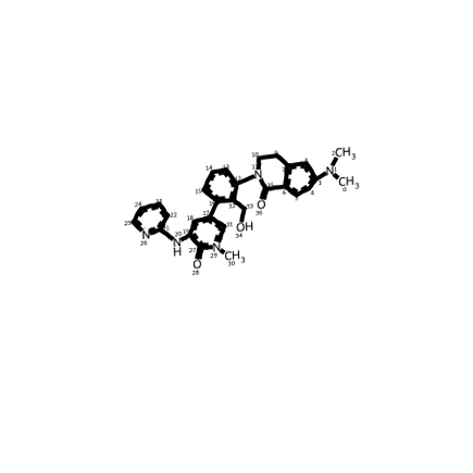 CN(C)c1ccc2c(c1)CCN(c1cccc(-c3cc(Nc4ccccn4)c(=O)n(C)c3)c1CO)C2=O